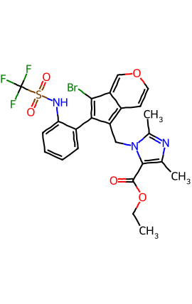 CCOC(=O)c1c(C)nc(C)n1Cc1c2ccocc-2c(Br)c1-c1ccccc1NS(=O)(=O)C(F)(F)F